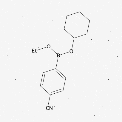 CCOB(OC1CCCCC1)c1ccc(C#N)cc1